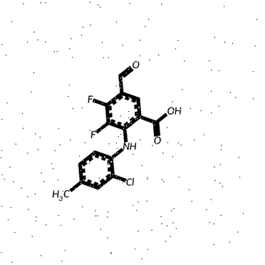 Cc1ccc(Nc2c(C(=O)O)cc(C=O)c(F)c2F)c(Cl)c1